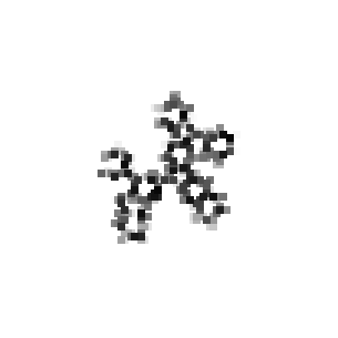 c1ccc(-c2nc(-n3c4cc5ccccc5cc4c4c5c6ccccc6n6c7ccccc7c(cc43)c56)nc3c2sc2ccccc23)cc1